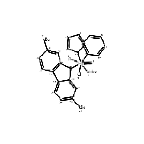 [CH2]=[Hf]([Cl])([Cl])([CH2]CCCCC)([c]1ccccc1)([CH]1C=CC=C1)[CH]1c2cc(C(C)(C)C)ccc2-c2ccc(C(C)(C)C)cc21